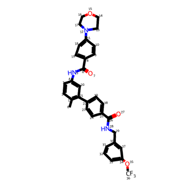 Cc1ccc(NC(=O)c2ccc(N3CCOCC3)cc2)cc1-c1ccc(C(=O)NCc2cccc(OC(F)(F)F)c2)cc1